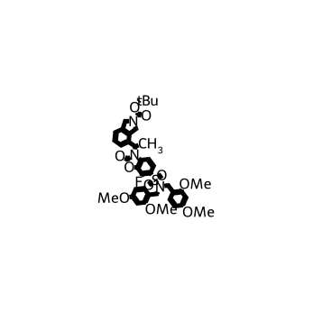 COc1ccc(CN(Cc2ccc(OC)cc2OC)S(=O)(=O)c2ccc3c(oc(=O)n3C(C)c3cccc4c3CN(C(=O)OC(C)(C)C)C4)c2F)c(OC)c1